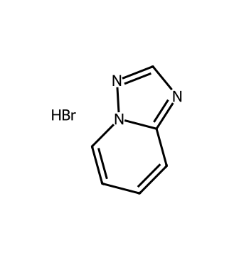 Br.c1ccn2ncnc2c1